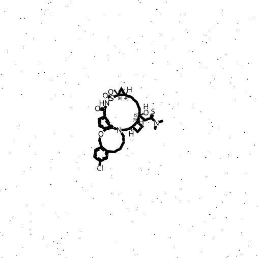 CN(C)C(=S)C[C@@]1(O)CCC[C@@H]2C[C@@]2(C)S(=O)(=O)NC(=O)c2ccc3c(c2)N(CCCCc2cc(Cl)ccc2CO3)C[C@@H]2CC[C@H]21